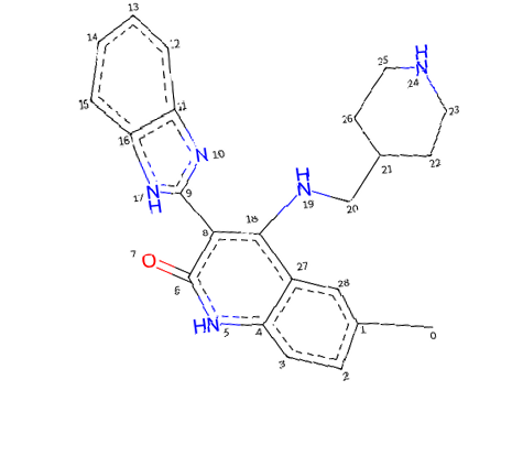 Cc1ccc2[nH]c(=O)c(-c3nc4ccccc4[nH]3)c(NCC3CCNCC3)c2c1